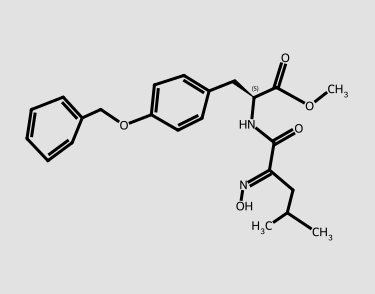 COC(=O)[C@H](Cc1ccc(OCc2ccccc2)cc1)NC(=O)C(CC(C)C)=NO